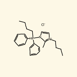 CCCC[n+]1ccn([PH](CCCC)(c2ccccc2)c2ccccc2)c1C.[Cl-]